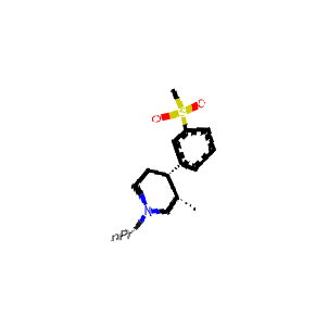 CCCN1CC[C@H](c2cccc(S(C)(=O)=O)c2)[C@H](C)C1